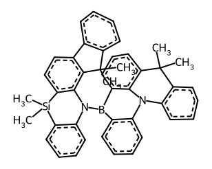 CC1(C)c2ccccc2N2c3ccccc3B(N3c4ccccc4[Si](C)(C)c4ccc5c(c43)C(C)(C)c3ccccc3-5)c3cccc1c32